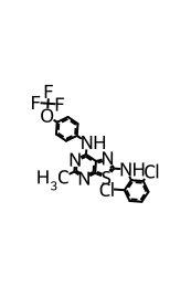 Cc1nc(Nc2ccc(OC(F)(F)F)cc2)c2nc(Nc3c(Cl)cccc3Cl)sc2n1